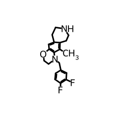 Cc1c2c(cc3c1N(Cc1ccc(F)c(F)c1)CCO3)CCNCC2